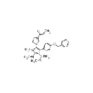 C=CC(=O)N1CC[C@@H](c2c(-c3ccc(OCc4ccccc4)cc3)c(/C(N)=N\C)c(N=C)n2C)C1